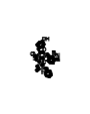 C=CCN(C(=O)NCc1ccccc1)N1CC(=O)N2[C@@H](Cc3ccc(O)cc3)C(=O)N(Cc3cccc4cnn(C)c34)C[C@@H]21